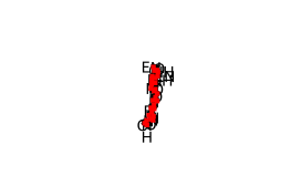 CCN(C)S(=O)(=O)Nc1ccc(F)c(Nc2ccc3ncn(C4COC5(CCN(C6CCC(c7cc8c(cc7F)c(N7CCC(=O)NC7=O)nn8C)CC6)CC5)C4)c(=O)c3c2F)c1C#N